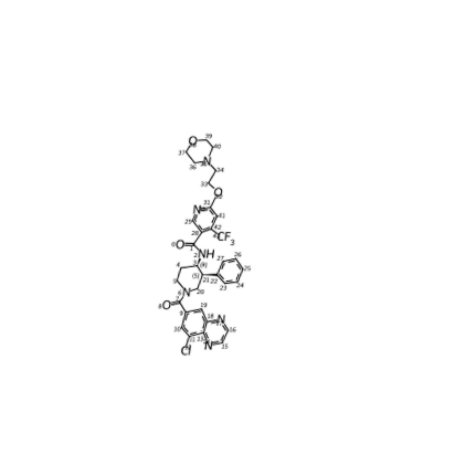 O=C(N[C@@H]1CCN(C(=O)c2cc(Cl)c3nccnc3c2)C[C@@H]1c1ccccc1)c1cnc(OCCN2CCOCC2)cc1C(F)(F)F